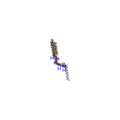 CCCCCCCCCCCC(C)NC(=O)CCNCCN(C)CCC(=O)NCC(=S)C(=S)C(=S)C(=S)C(=S)C(=S)C(=S)C(=S)C(=S)C(=S)C(=S)C=S